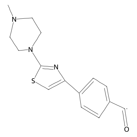 CN1CCN(c2nc(-c3ccc([C]=O)cc3)cs2)CC1